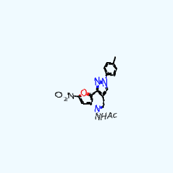 CC(=O)N/N=C/c1cn(-c2ccc(C)cc2)nc1-c1ccc([N+](=O)[O-])o1